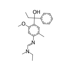 CCN(C)/C=N/c1cc(OC)c(C(O)(CC)c2ccccc2)cc1C